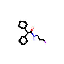 O=C(NCCCI)C(c1ccccc1)c1ccccc1